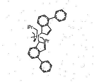 [CH2]=[Hf]([CH3])([CH3])([CH2]C(C)C)([CH2]C(C)C)([CH]1C=Cc2c(-c3ccccc3)cccc21)[CH]1C=Cc2c(-c3ccccc3)cccc21